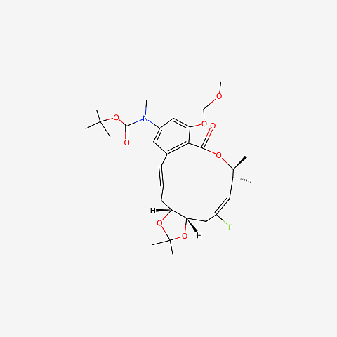 COCOc1cc(N(C)C(=O)OC(C)(C)C)cc2c1C(=O)O[C@@H](C)[C@H](C)/C=C(/F)C[C@@H]1OC(C)(C)O[C@@H]1C/C=C/2